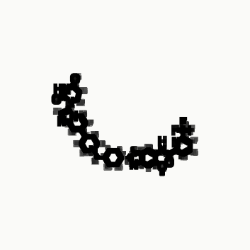 COc1cc2nc([C@H]3CC[C@H](CN4CCC(c5ccn6c(N7CCC(=O)NC7=O)cnc6c5)CC4)CC3)sc2cc1NC(=O)c1cccc(C(F)(F)F)n1